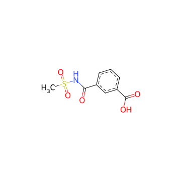 CS(=O)(=O)NC(=O)c1cccc(C(=O)O)c1